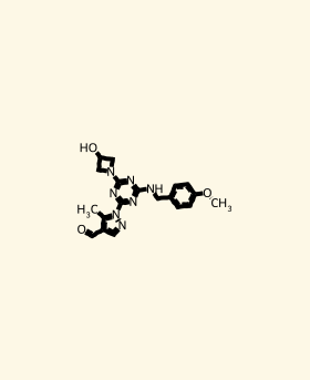 COc1ccc(CNc2nc(N3CC(O)C3)nc(-n3ncc(C=O)c3C)n2)cc1